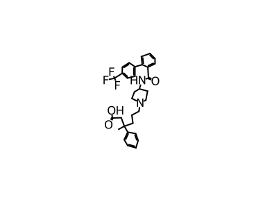 CC(CCCN1CCC(NC(=O)c2ccccc2-c2ccc(C(F)(F)F)cc2)CC1)(CC(=O)O)c1ccccc1